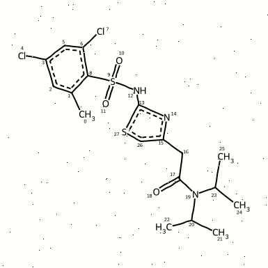 Cc1cc(Cl)cc(Cl)c1S(=O)(=O)Nc1nc(CC(=O)N(C(C)C)C(C)C)cs1